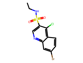 CCNS(=O)(=O)c1cnc2cc(Br)ccc2c1Cl